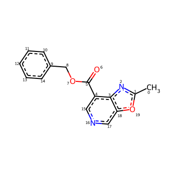 Cc1nc2c(C(=O)OCc3ccccc3)cncc2o1